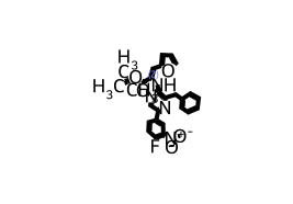 CC(C)(C)OC(=O)/C(=C/c1ccco1)Nc1ncc(-c2ccc(F)c([N+](=O)[O-])c2)nc1Cc1ccccc1